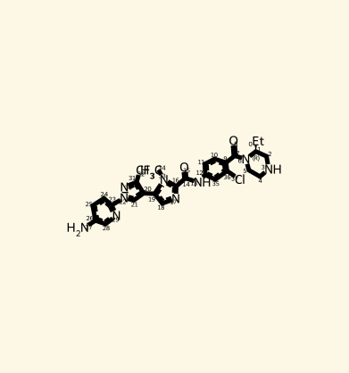 CC[C@@H]1CNCCN1C(=O)c1ccc(NC(=O)c2ncc(-c3cn(-c4ccc(N)cn4)nc3C(F)(F)F)n2C)cc1Cl